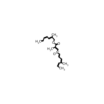 C=C/C=C\C=C(/C)COC(=O)/C(C)=C/[S+]([O-])/C=C/C=C(C)\C=C/C